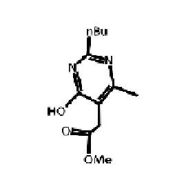 CCCCc1nc(C)c(CC(=O)OC)c(O)n1